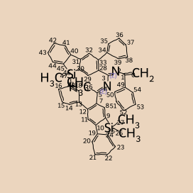 C=C(/N=C(\N=C(/C)c1cc2c(cc1-c1ccccc1)-c1ccccc1[Si]2(C)C)c1cc2c(cc1-c1ccccc1)-c1ccccc1[Si]2(C)C)c1ccccc1